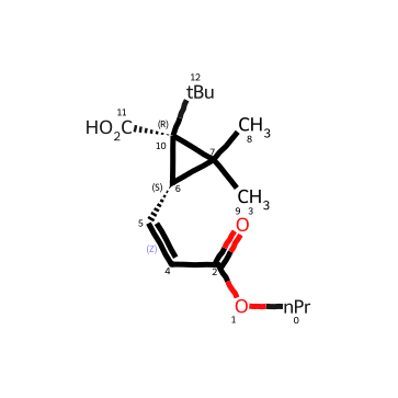 CCCOC(=O)/C=C\[C@H]1C(C)(C)[C@]1(C(=O)O)C(C)(C)C